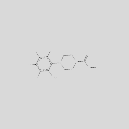 CSc1c(F)c(F)c(F)c(F)c1N1CCN(C(=O)OC(C)(C)C)[C@@H](C)C1